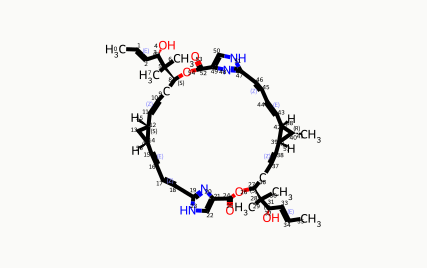 C/C=C/[C@H](O)C(C)(C)[C@@H]1C/C=C\[C@H]2C[C@H]2/C=C/C=C\c2nc(c[nH]2)C(=O)O[C@H](C(C)(C)[C@@H](O)/C=C/C)C/C=C\[C@H]2[C@@H](C)[C@H]2/C=C/C=C\c2nc(c[nH]2)C(=O)O1